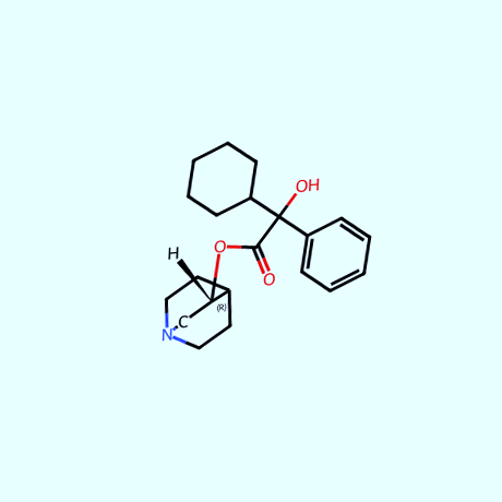 O=C(O[C@H]1CN2CCC1CC2)C(O)(c1ccccc1)C1CCCCC1